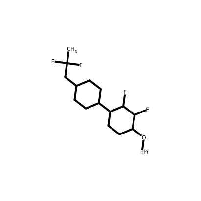 CCCOC1CCC(C2CCC(CC(C)(F)F)CC2)C(F)C1F